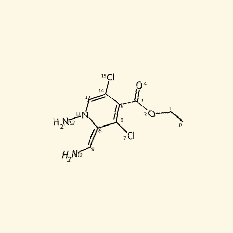 CCOC(=O)C1=C(Cl)/C(=C/N)N(N)C=C1Cl